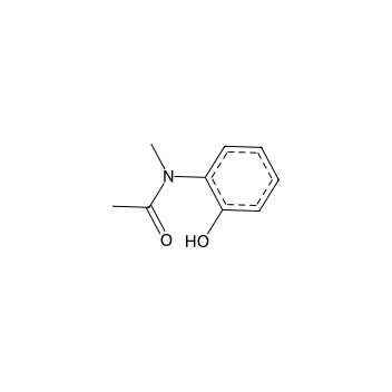 CC(=O)N(C)c1ccccc1O